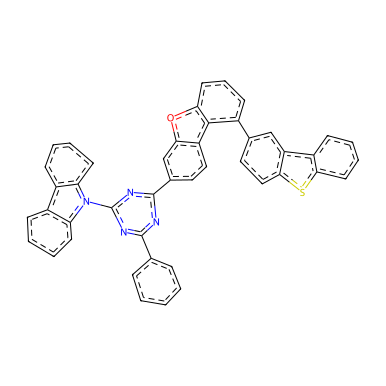 c1ccc(-c2nc(-c3ccc4c(c3)oc3cccc(-c5ccc6sc7ccccc7c6c5)c34)nc(-n3c4ccccc4c4ccccc43)n2)cc1